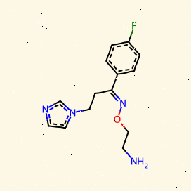 NCCON=C(CCn1ccnc1)c1ccc(F)cc1